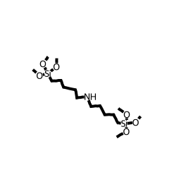 CO[Si](CCCCCNCCCCC[Si](OC)(OC)OC)(OC)OC